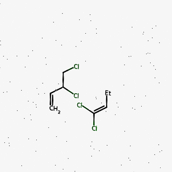 C=CC(Cl)CCl.CCC=C(Cl)Cl